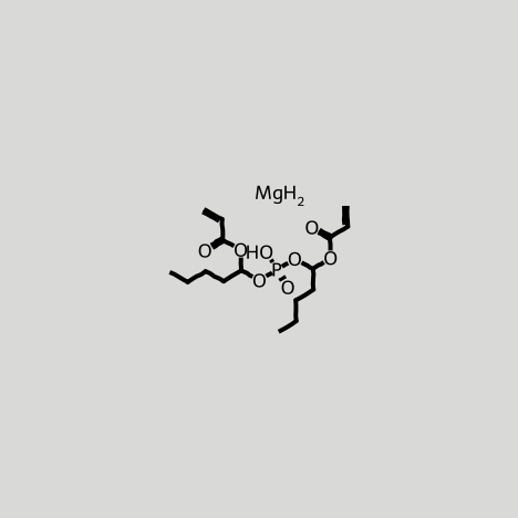 C=CC(=O)OC(CCCC)OP(=O)(O)OC(CCCC)OC(=O)C=C.[MgH2]